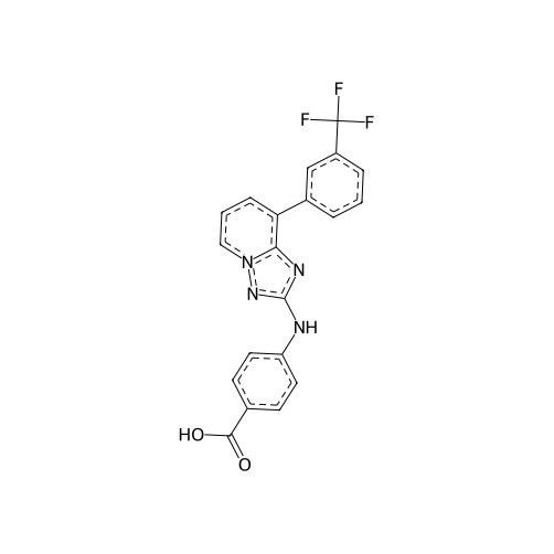 O=C(O)c1ccc(Nc2nc3c(-c4cccc(C(F)(F)F)c4)cccn3n2)cc1